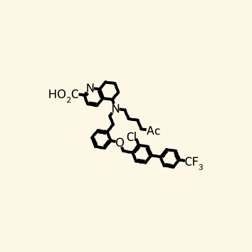 CC(=O)CCCCN(CCc1ccccc1OCc1ccc(-c2ccc(C(F)(F)F)cc2)cc1Cl)C1CCCc2nc(C(=O)O)ccc21